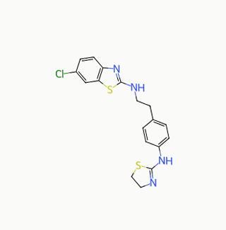 Clc1ccc2nc(NCCc3ccc(NC4=NCCS4)cc3)sc2c1